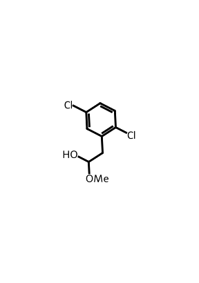 COC(O)Cc1cc(Cl)ccc1Cl